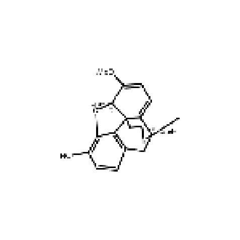 COC1=CC=C2[C@H]3Cc4ccc(O)c5c4C2(CCN3C)[C@H]1O5